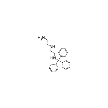 NCCNCCNC(c1ccccc1)(c1ccccc1)c1ccccc1